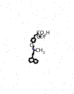 CCOC(Cc1ccc(OC/C=C(\C)C#Cc2cccc3ccccc23)cc1)C(=O)O